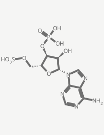 Nc1ncnc2c1ncn2[C@@H]1O[C@H](COS(=O)(=O)O)[C@@H](OP(=O)(O)O)[C@H]1O